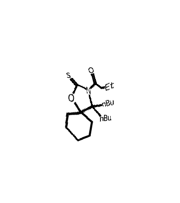 CCCCC1(CCCC)N(C(=O)CC)C(=S)OC12CCCCC2